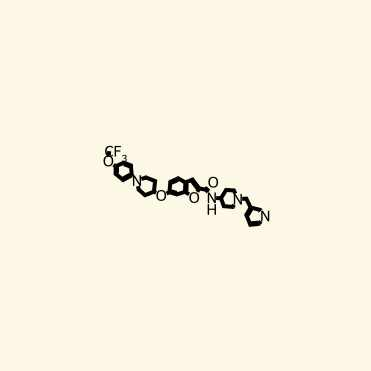 O=C(NC1CCN(Cc2cccnc2)CC1)c1cc2ccc(OC3CCN(c4ccc(OC(F)(F)F)cc4)CC3)cc2o1